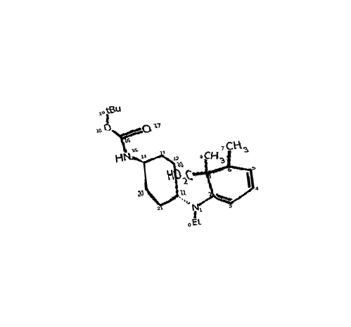 CCN(C1=CC=CC(C)C1(C)C(=O)O)[C@H]1CC[C@H](NC(=O)OC(C)(C)C)CC1